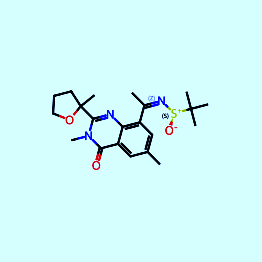 C/C(=N/[S@+]([O-])C(C)(C)C)c1cc(C)cc2c(=O)n(C)c(C3(C)CCCO3)nc12